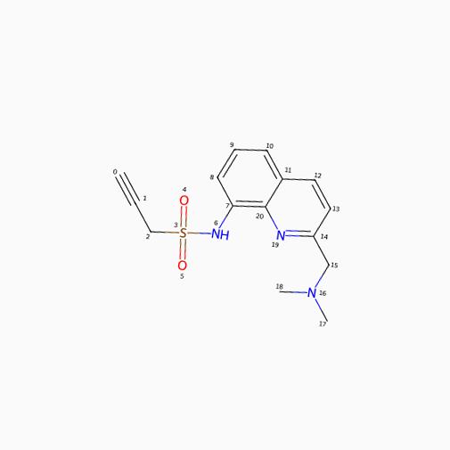 C#CCS(=O)(=O)Nc1cccc2ccc(CN(C)C)nc12